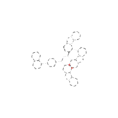 N/N=C(\N=C(\c1ccc(-c2cccc3ccccc23)cc1)c1ccc2c(c1)oc1ccccc12)c1cccc2oc3cccc(-c4cccc5sc6ccccc6c45)c3c12